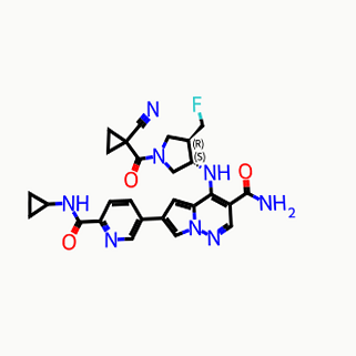 N#CC1(C(=O)N2C[C@@H](CF)[C@H](Nc3c(C(N)=O)cnn4cc(-c5ccc(C(=O)NC6CC6)nc5)cc34)C2)CC1